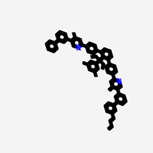 CCCCc1cccc(-c2cccc(-c3cnc(-c4ccc(-c5cccc(-c6ccc(-c7cc(C)c(-c8cccc(-c9ccccc9)c8)cn7)cc6)c5C(CC)(CC)c5cc(C)cc(C)c5)cc4)cc3C)c2)c1